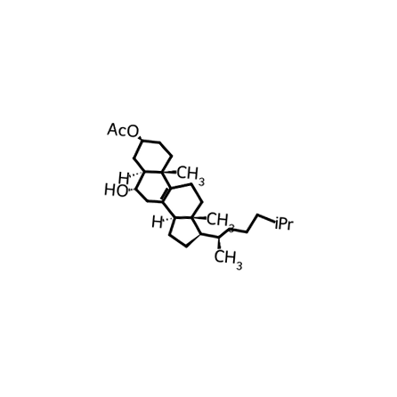 CC(=O)O[C@H]1CC[C@]2(C)C3=C(C[C@H](O)[C@H]2C1)[C@@H]1CC[C@H]([C@H](C)CCCC(C)C)[C@@]1(C)CC3